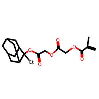 C=C(C)C(=O)OCC(=O)OCC(=O)OC1(CC)C2CC3CC(C2)CC1C3